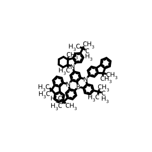 CC(C)(C)c1ccc2c(c1)N(c1ccc3c(c1)C(C)(C)c1ccccc1-3)c1cc(N3c4ccc(C(C)(C)C)cc4C4(C)CCCCC34C)cc3c1B2c1ccc(C(C)(C)C)cc1N3c1cccc2c1-c1ccccc1C2(C)C